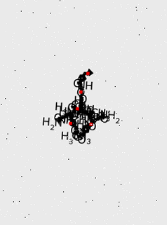 CC(=O)OCc1ccc(NC(=O)C(CCCNC(N)=O)NC(=O)C(NC(=O)CC(NC(=O)CCOCCOCCNC(=O)c2ccc(CC3CCC3)cc2)C(=O)NC(C(=O)NC(CCCNC(N)=O)C(=O)Nc2ccc(COC(C)=O)cc2)C(C)C)C(C)C)cc1